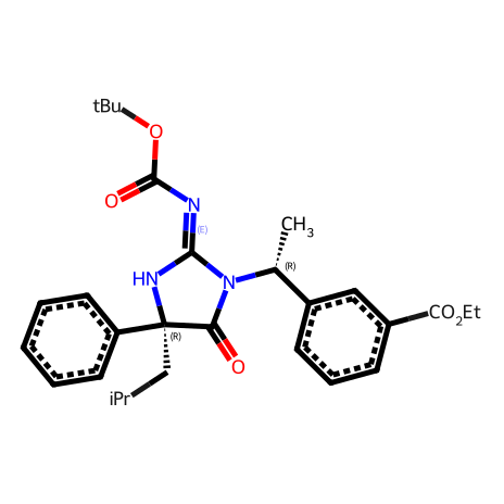 CCOC(=O)c1cccc([C@@H](C)N2C(=O)[C@@](CC(C)C)(c3ccccc3)N/C2=N\C(=O)OC(C)(C)C)c1